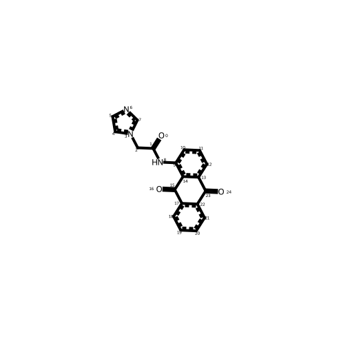 O=C(Cn1ccnc1)Nc1cccc2c1C(=O)c1ccccc1C2=O